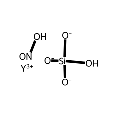 O=NO.[O-][Si]([O-])([O-])O.[Y+3]